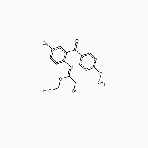 CCOC(CBr)=Nc1ccc(Cl)cc1C(=O)c1ccc(OC)cc1